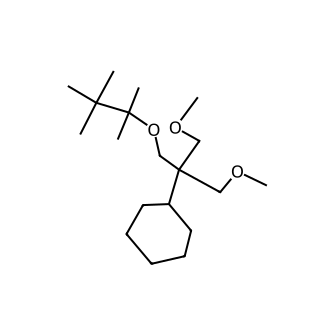 COCC(COC)(COC(C)(C)C(C)(C)C)C1CCCCC1